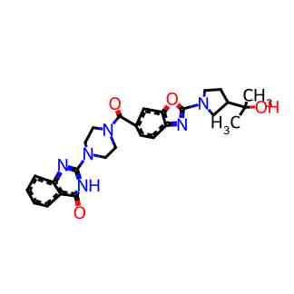 CC(C)(O)C1CCN(c2nc3ccc(C(=O)N4CCN(c5nc6ccccc6c(=O)[nH]5)CC4)cc3o2)C1